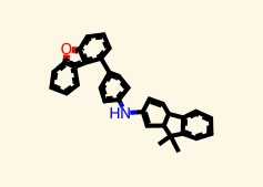 CC1(C)c2ccccc2C2C=CC(Nc3ccc(-c4cccc5oc6ccccc6c45)cc3)=CC21